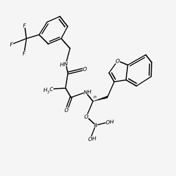 CC(C(=O)NCc1cccc(C(F)(F)F)c1)C(=O)N[C@@H](Cc1coc2ccccc12)OB(O)O